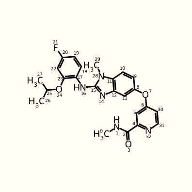 CNC(=O)c1cc(Oc2ccc3c(c2)nc(Nc2ccc(F)cc2OC(C)C)n3C)ccn1